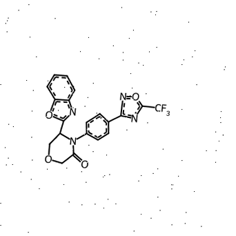 O=C1COCC(c2nc3ccccc3o2)N1c1ccc(-c2noc(C(F)(F)F)n2)cc1